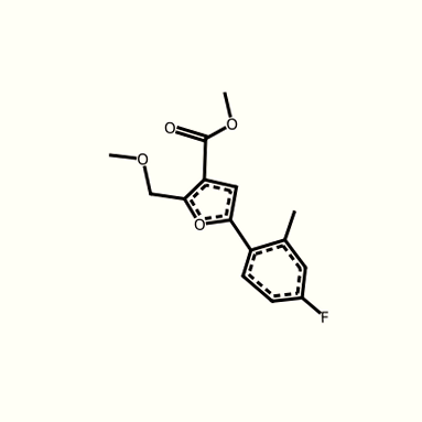 COCc1oc(-c2ccc(F)cc2C)cc1C(=O)OC